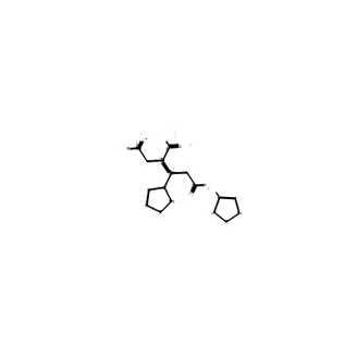 O=C(O)CC(C(=O)O)=C(CC(=O)OC1CCCC1)C1CCCC1